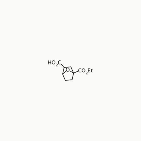 CCOC(=O)C12CCC(O1)C(C(=O)O)C2